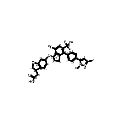 Cc1cc(-c2ccc(-c3c(C(F)(F)F)cc(F)c4c3CC[C@H]4Oc3ccc4c(c3)OCC4CC(=O)O)cc2)n(C)n1